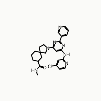 CNC(=O)C1CCCC2(CCN(c3cc(Nc4cc(Cl)ccn4)nc(-c4cccnc4)n3)C2)C1